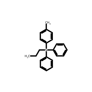 CCC[Si](c1ccccc1)(c1ccccc1)c1ccc(C)cc1